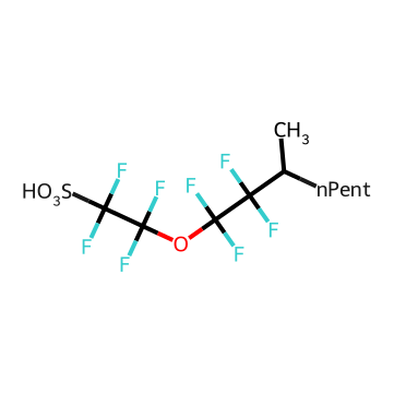 CCCCCC(C)C(F)(F)C(F)(F)OC(F)(F)C(F)(F)S(=O)(=O)O